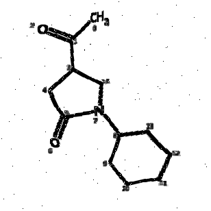 CC(=O)C1CC(=O)N(C2CCCCC2)C1